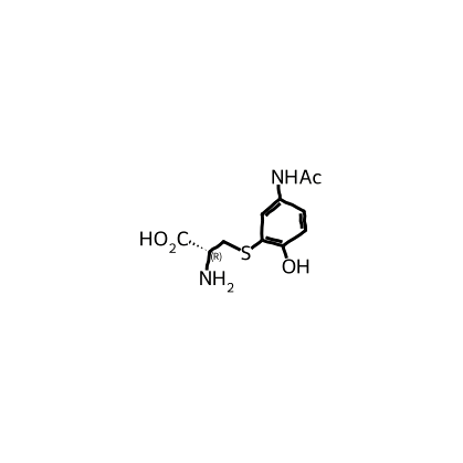 CC(=O)Nc1ccc(O)c(SC[C@H](N)C(=O)O)c1